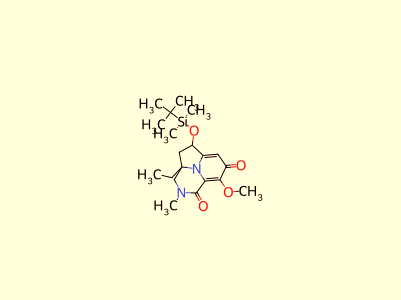 CCC12CC(O[Si](C)(C)C(C)(C)C)c3cc(=O)c(OC)c(n31)C(=O)N(C)C2